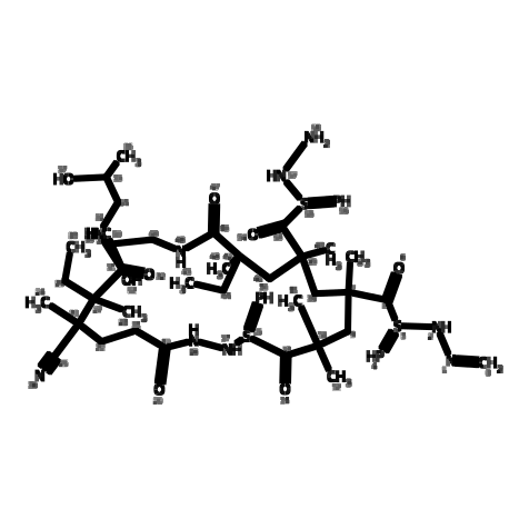 C=NNS(=P)C(=O)C(C)(CC(C)(C)C(=O)S(=P)NNC(=O)CCC(C)(C#N)C(C)(CC)C(=O)NCC(C)O)CC(C)(CC(C)(CC)C(=O)NCC(C)O)C(=O)S(=P)NN